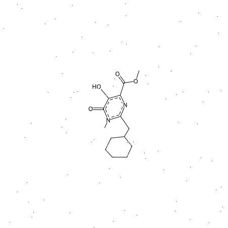 COC(=O)c1nc(CC2CCCCC2)n(C)c(=O)c1O